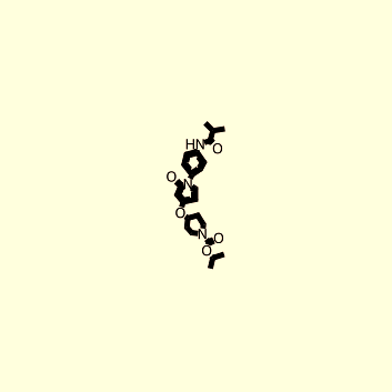 CC(C)OC(=O)N1CCC(Oc2ccn(-c3ccc(NC(=O)C(C)C)cc3)c(=O)c2)CC1